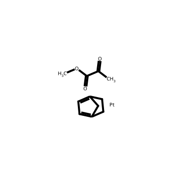 C1=C2CCC(=C1)C2.COC(=O)C(C)=O.[Pt]